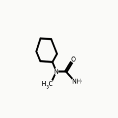 CN(C([NH])=O)C1CCCCC1